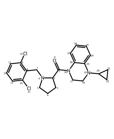 O=C(C1CCCN1Cc1c(Cl)cccc1Cl)N1CCN(C2CC2)c2ccccc21